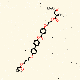 C=CC(=O)OCCCCOc1ccc(-c2ccc(OC(=O)c3ccc(OCCCOC(=O)C(=C)CC(=O)OC)cc3)cc2)cc1